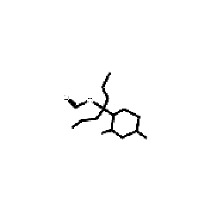 CCCC(CCC)(O[C]=O)C1CCC(C)CC1C